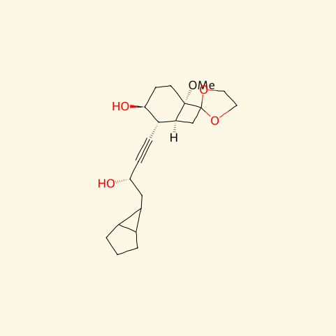 CO[C@@]12CC[C@H](O)[C@@H](C#C[C@@H](O)CC3C4CCCC43)[C@@H]1CC21OCCO1